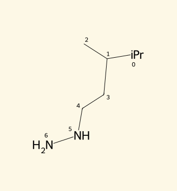 CC(C)C(C)CCNN